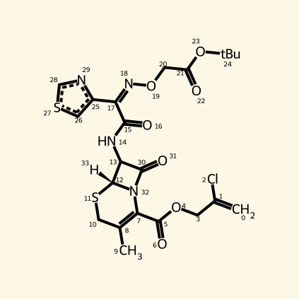 C=C(Cl)COC(=O)C1=C(C)CS[C@@H]2C(NC(=O)/C(=N\OCC(=O)OC(C)(C)C)c3cscn3)C(=O)N12